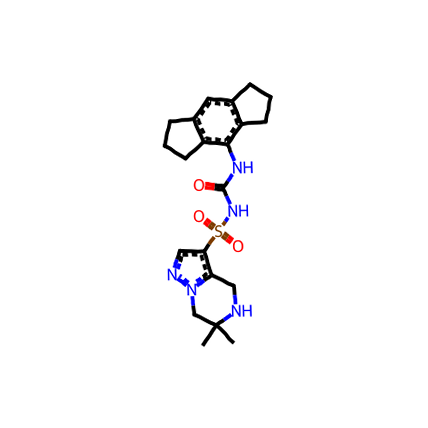 CC1(C)Cn2ncc(S(=O)(=O)NC(=O)Nc3c4c(cc5c3CCC5)CCC4)c2CN1